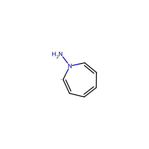 NN1[C]=CC=CC=C1